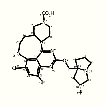 O=C(O)N1CCN2c3nc(OC[C@@]45CCCN4C[C@H](F)C5)nc4c(F)cc(Cl)c(c34)OCCC2C1